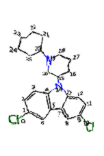 Clc1ccc2c(c1)c1cc(Cl)ccc1n2C1CCCN(C2CCCCC2)C1